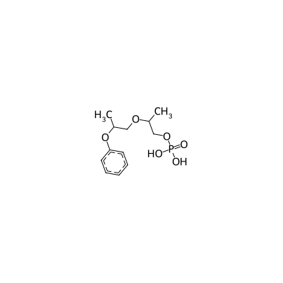 CC(COP(=O)(O)O)OCC(C)Oc1ccccc1